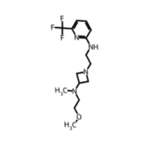 COCCN(C)C1CN(CCNc2cccc(C(F)(F)F)n2)C1